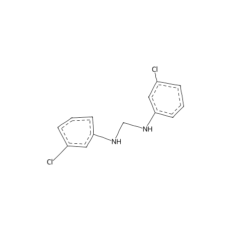 Clc1cccc(NCNc2cccc(Cl)c2)c1